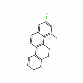 Cc1cc(Cl)cc2ccc3c(c12)CCC1=C3C=CCC1